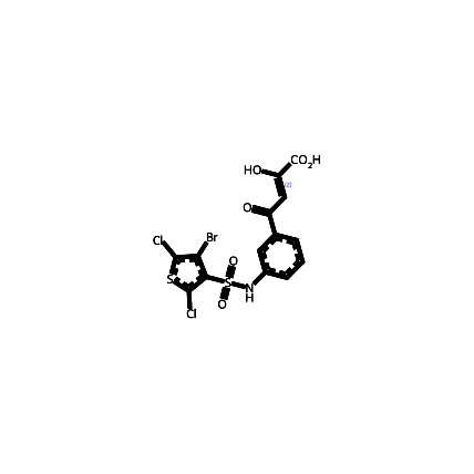 O=C(O)/C(O)=C/C(=O)c1cccc(NS(=O)(=O)c2c(Cl)sc(Cl)c2Br)c1